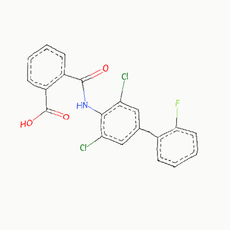 O=C(O)c1ccccc1C(=O)Nc1c(Cl)cc(-c2ccccc2F)cc1Cl